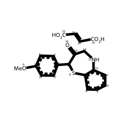 COc1ccc(C2Sc3ccccc3NCC2=O)cc1.O=C(O)C=CC(=O)O